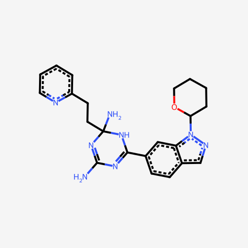 NC1=NC(N)(CCc2ccccn2)NC(c2ccc3cnn(C4CCCCO4)c3c2)=N1